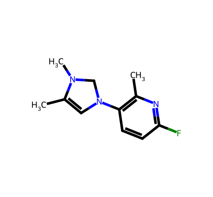 CC1=CN(c2ccc(F)nc2C)CN1C